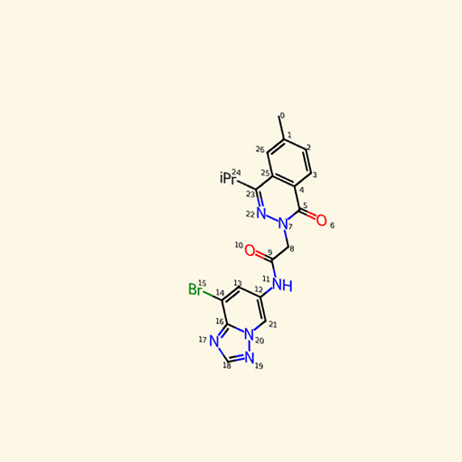 Cc1ccc2c(=O)n(CC(=O)Nc3cc(Br)c4ncnn4c3)nc(C(C)C)c2c1